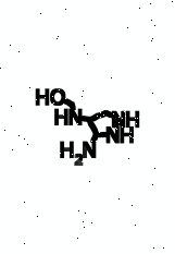 NC1NNCC1NCO